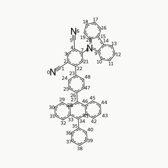 N#Cc1cc(C#N)c(-n2c3ccccc3c3ccccc32)cc1-c1ccc(-c2c3ccccc3c(-c3ccccc3)c3ccccc23)cc1